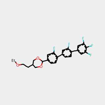 CCOCCC1COC(c2ccc(-c3ccc(-c4cc(F)c(F)c(F)c4)c(F)c3)c(F)c2)OC1